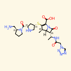 CC(NC(=O)Cn1cnnn1)[C@H]1C(=O)N2C(C(=O)O)=C(S[C@@H]3CN[C@H](C(=O)N4CCC[C@H]4CN)C3)[C@H](C)[C@H]12